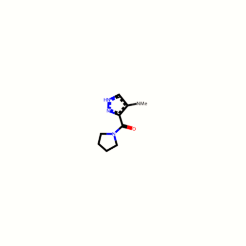 CNc1c[nH]nc1C(=O)N1CCCC1